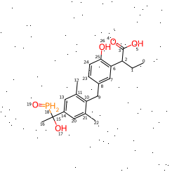 CCC(C(=O)O)c1cc(Cc2c(C)cc(C(C)(O)[PH2]=O)cc2C)ccc1O